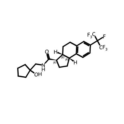 O=C(NCC1(O)CCCC1)[C@@H]1CC[C@H]2c3ccc(C(F)(C(F)(F)F)C(F)(F)F)cc3CC[C@@H]12